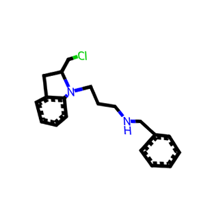 ClCC1Cc2ccccc2N1CCCNCc1ccccc1